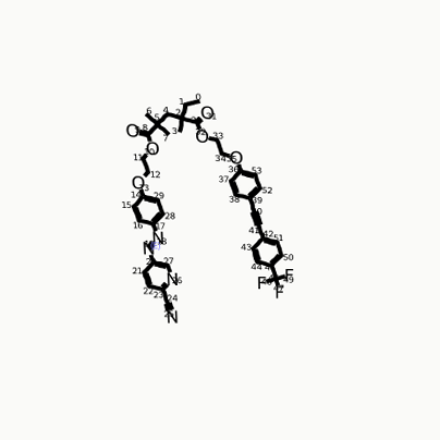 CCC(C)(CC(C)(C)C(=O)OCCOc1ccc(/N=N/c2ccc(C#N)nc2)cc1)C(=O)OCCOc1ccc(C#Cc2ccc(C(F)(F)F)cc2)cc1